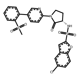 CS(=O)(=O)c1ccccc1-c1ccc(N2CC[C@H](NS(=O)(=O)c3cc4cc(Cl)ccc4o3)C2=O)nc1